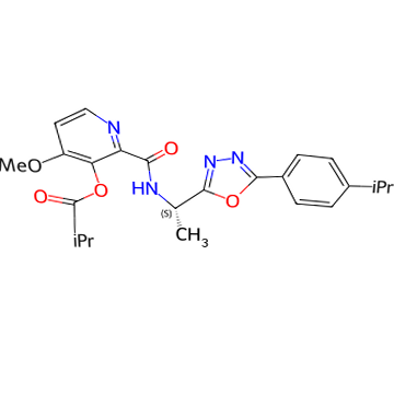 COc1ccnc(C(=O)N[C@@H](C)c2nnc(-c3ccc(C(C)C)cc3)o2)c1OC(=O)C(C)C